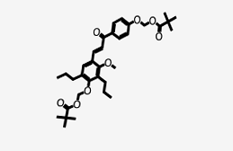 CCCc1cc(C=CC(=O)c2ccc(OCOC(=O)C(C)(C)C)cc2)c(OC)c(CCC)c1OCOC(=O)C(C)(C)C